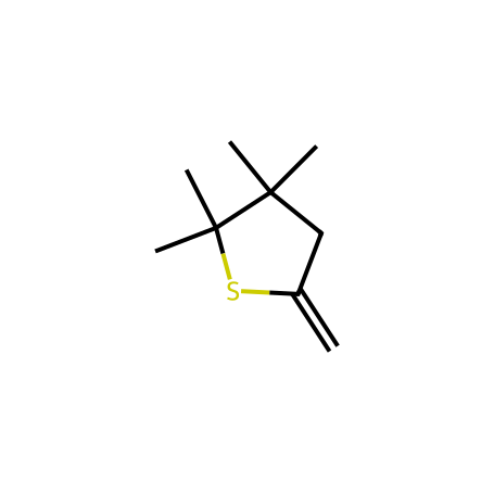 C=C1CC(C)(C)C(C)(C)S1